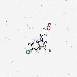 CCc1cn(CCCOC)c2ccc(Cl)cc12